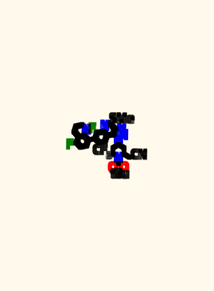 CSc1nc2c(F)c(-c3ccc(F)c4cccnc34)c(C(F)(F)F)cc2c2c1nnn2[C@H]1CCN(C(=O)OC(C)(C)C)C(CC#N)C1